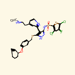 O=CNCCc1ccnc(-c2c(NS(=O)(=O)c3sc(Cl)c(F)c3Cl)n[nH]c2SCc2cccc(OC3C=CCCC3)c2)c1